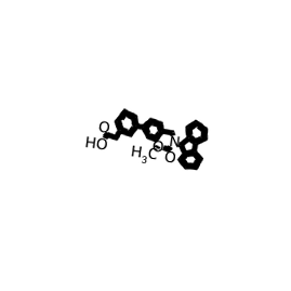 COC(=O)N(Cc1ccc(-c2cccc(CC(=O)O)c2)cc1)C1c2ccccc2-c2ccccc21